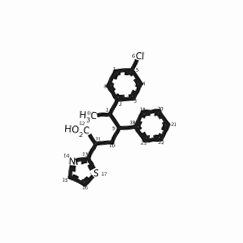 CC(c1ccc(Cl)cc1)C(CC(C(=O)O)c1nccs1)c1ccccc1